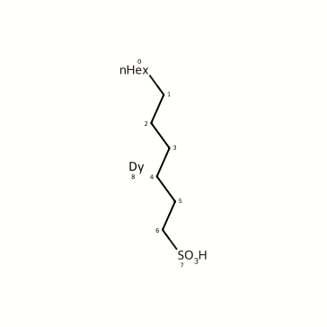 CCCCCCCCCCCCS(=O)(=O)O.[Dy]